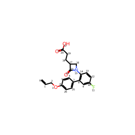 C=CCOc1ccc(-c2cc(F)ccc2N2CC(CCC(=O)O)C2=O)cc1